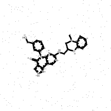 CN1CC(CNc2ncc3c4n[nH]cc4c(=O)n(-c4cccc(CO)c4)c3n2)Oc2ccccc21